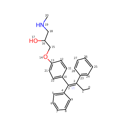 CC/C(=C(\c1ccccc1)c1ccc(OCC(O)CNC)cc1)c1ccccc1